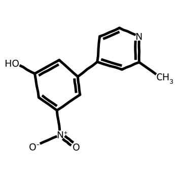 Cc1cc(-c2cc(O)cc([N+](=O)[O-])c2)ccn1